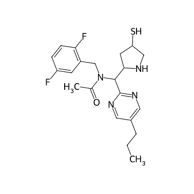 CCCc1cnc(C(C2CC(S)CN2)N(Cc2cc(F)ccc2F)C(C)=O)nc1